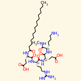 CCCCCCCCCCCCCCCC(=O)N[C@@H](CCC(=O)O)C(=O)N[C@@H](CCCNC(=N)N)C(=O)N[C@@H](CCC(=O)O)C(=O)N[C@@H](CCCCN)C(=O)NC